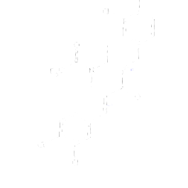 CC1/C(=C\c2ccc(Cl)c(Cl)c2)C(=O)/C(=C/c2ccc(Cl)c(Cl)c2)CN1C(=O)C(F)(F)F